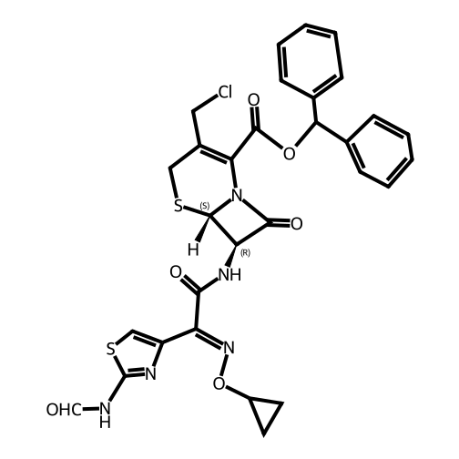 O=CNc1nc(C(=NOC2CC2)C(=O)N[C@@H]2C(=O)N3C(C(=O)OC(c4ccccc4)c4ccccc4)=C(CCl)CS[C@@H]23)cs1